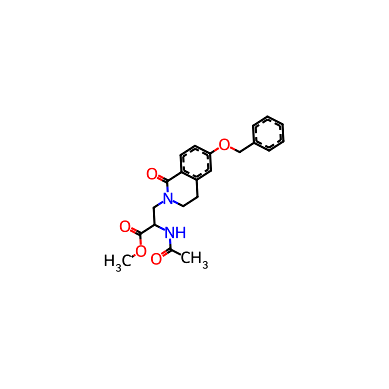 COC(=O)C(CN1CCc2cc(OCc3ccccc3)ccc2C1=O)NC(C)=O